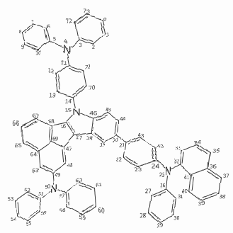 c1ccc(N(c2ccccc2)c2ccc(-n3c4c(c5cc(-c6ccc(N(c7ccccc7)c7cccc8ccccc78)cc6)ccc53)-c3cc(N(c5ccccc5)c5ccccc5)cc5cccc-4c35)cc2)cc1